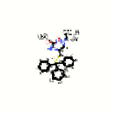 CC(C)[C@H](NCC(CSC(c1ccccc1)(c1ccccc1)c1ccccc1)NC(=O)OC(C)(C)C)C(=O)O